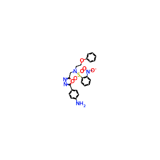 Nc1ccc(-c2nnc(CN(CCOc3ccccc3)S(=O)(=O)c3ccccc3[N+](=O)[O-])o2)cc1